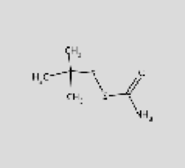 CC(C)(C)SSC(N)=O